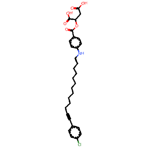 O=C(O)CC(OC(=O)c1ccc(NCCCCCCCCCCCC#Cc2ccc(Cl)cc2)cc1)C(=O)O